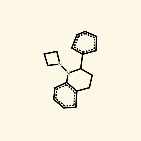 [c]1ccc2c(c1)CCC(c1ccccc1)N2N1CCC1